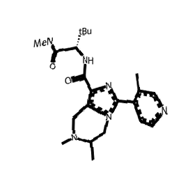 CNC(=O)[C@@H](NC(=O)c1nc(-c2ccncc2C)n2c1CN(C)C(C)C2)C(C)(C)C